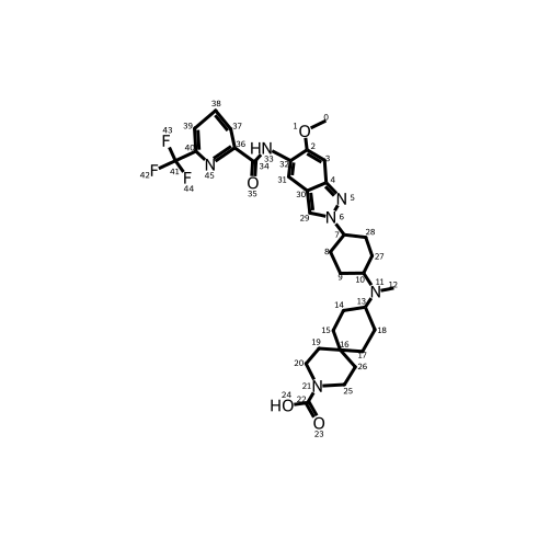 COc1cc2nn(C3CCC(N(C)C4CCC5(CC4)CCN(C(=O)O)CC5)CC3)cc2cc1NC(=O)c1cccc(C(F)(F)F)n1